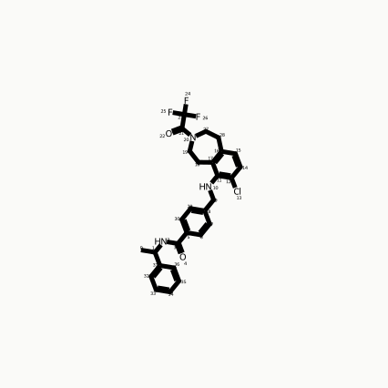 CC(NC(=O)c1ccc(CNc2c(Cl)ccc3c2CCN(C(=O)C(F)(F)F)CC3)cc1)c1ccccc1